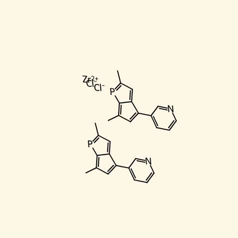 CC1=PC2=C(C)C=C(c3cccnc3)C2=C1.CC1=PC2=C(C)C=C(c3cccnc3)C2=C1.[Cl-].[Cl-].[Zr+2]